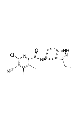 CCc1n[nH]c2ccc(NC(=O)c3nc(Cl)c(C#N)c(C)c3C)cc12